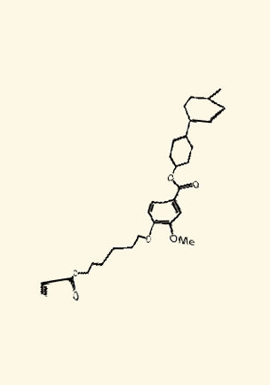 C=CC(=O)OCCCCCCOc1ccc(C(=O)OC2CCC(C3CCC(C)CC3)CC2)cc1OC